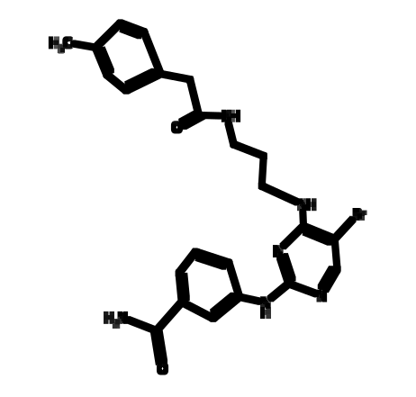 Cc1ccc(CC(=O)NCCCNc2nc(Nc3cccc(C(N)=O)c3)ncc2Br)cc1